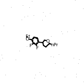 CCCC1CCC(c2ccc(OCC)c(F)c2F)CO1